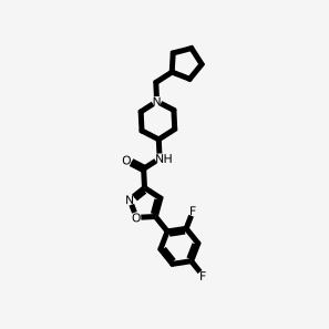 O=C(NC1CCN(CC2CCCC2)CC1)c1cc(-c2ccc(F)cc2F)on1